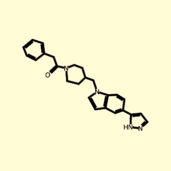 O=C(Cc1ccccc1)N1CCC(Cn2ccc3cc(-c4ccn[nH]4)ccc32)CC1